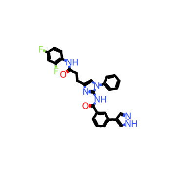 O=C(CCc1cn(-c2ccccc2)c(NC(=O)c2cccc(-c3cn[nH]c3)c2)n1)Nc1ccc(F)cc1F